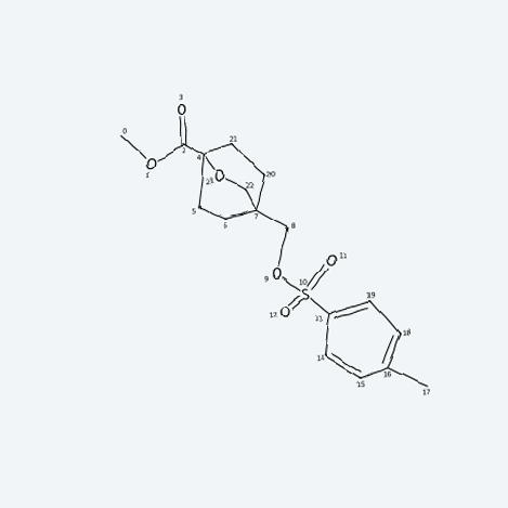 COC(=O)C12CCC(COS(=O)(=O)c3ccc(C)cc3)(CC1)CO2